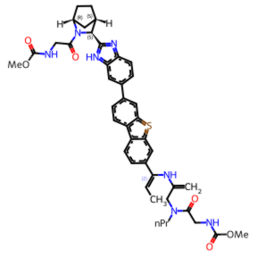 C=C(CN(CCC)C(=O)CNC(=O)OC)N/C(=C\C)c1ccc2c(c1)sc1cc(-c3ccc4nc([C@@H]5[C@H]6CC[C@H](C6)N5C(=O)CNC(=O)OC)[nH]c4c3)ccc12